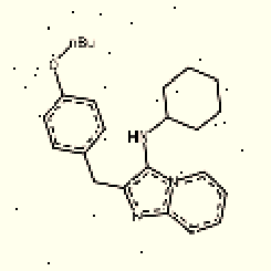 CCCCOc1ccc(Cc2nc3ccccn3c2NC2CCCCC2)cc1